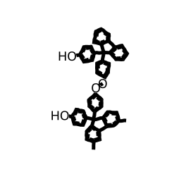 Cc1ccc2c(c1)-c1cc(C)ccc1C2(c1ccc(O)cc1)c1ccc(OOc2ccc(C3(c4ccc(O)cc4)c4ccccc4-c4ccccc43)cc2)cc1